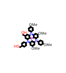 COc1ccc(N2c3cc(CO)cc4c3P3c5c(cc(OC)cc5N(c5ccc(OC)cc5)c5cc(OC)cc2c53)N4c2ccc(CO)cc2)cc1